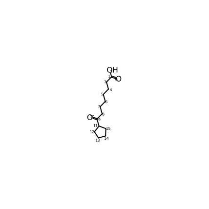 O=C(O)CCCCCCC(=O)C1CCCC1